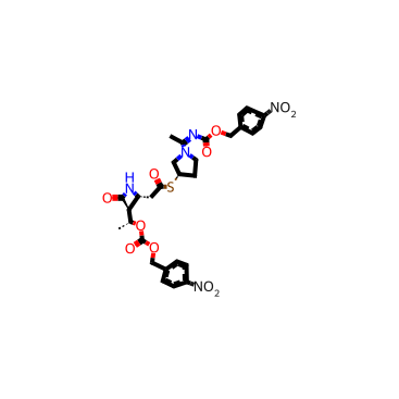 CC(=NC(=O)OCc1ccc([N+](=O)[O-])cc1)N1CC[C@H](SC(=O)C[C@H]2NC(=O)[C@@H]2[C@@H](C)OC(=O)OCc2ccc([N+](=O)[O-])cc2)C1